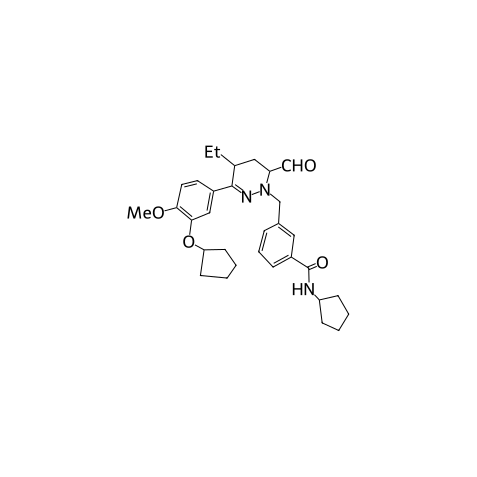 CCC1CC(C=O)N(Cc2cccc(C(=O)NC3CCCC3)c2)N=C1c1ccc(OC)c(OC2CCCC2)c1